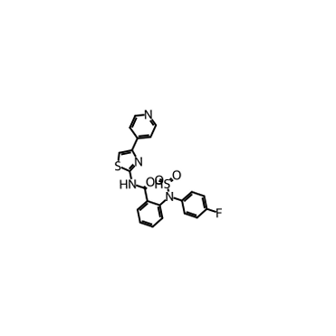 O=C(Nc1nc(-c2ccncc2)cs1)c1ccccc1N(c1ccc(F)cc1)[SH](=O)=O